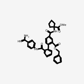 COC(=O)C1(NC(=O)c2ccc(-c3ccccc3C(=O)Nc3ccc(C(=N)N)cc3)c(C(=O)OCc3ccccc3)c2)CCCC1